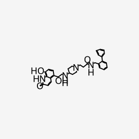 O=C(CCN1CCC(NC[C@H](O)c2ccc(O)c3[nH]c(=O)ccc23)CC1)NCc1ccccc1-c1ccccc1